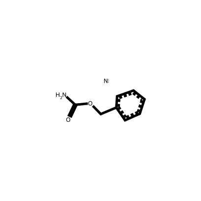 NC(=O)OCc1ccccc1.[N]